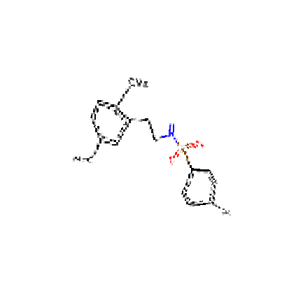 COc1ccc(OC)c(CCNS(=O)(=O)c2ccc(C(C)=O)cc2)c1